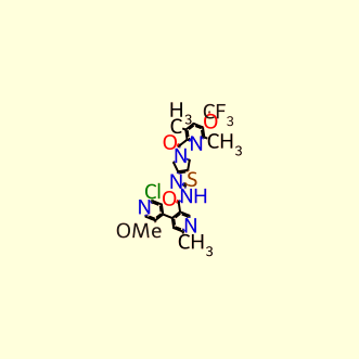 COc1cnc(Cl)cc1-c1cc(C)ncc1C(=O)Nc1nc2c(s1)CN(C(=O)c1nc(C)c(OC(F)(F)F)cc1C)C2